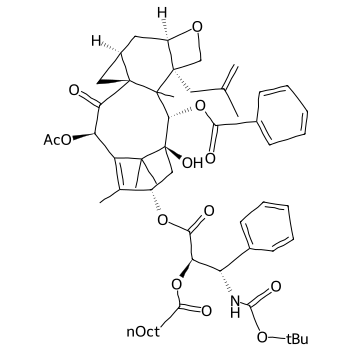 C=C(C)C[C@@]12CO[C@@H]1C[C@@H]1C[C@@]13C(=O)[C@H](OC(C)=O)C1=C(C)[C@@H](OC(=O)[C@H](OC(=O)CCCCCCCC)[C@@H](NC(=O)OC(C)(C)C)c4ccccc4)C[C@@](O)([C@@H](OC(=O)c4ccccc4)C23C)C1(C)C